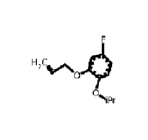 C=CCOc1cc(F)ccc1OC(C)C